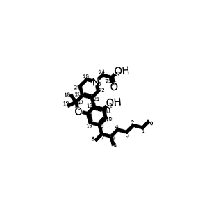 CCCCCC(C)C(C)c1cc(O)c2c(c1)OC(C)(C)C1=C2CN(CC(=O)O)CC1